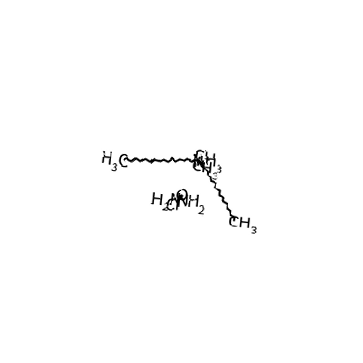 CCCCCCCCCCCCCCCCCC[N+](C)(C)CCCCCCCCCCCCCCCCCC.NC(N)=O.[Cl-]